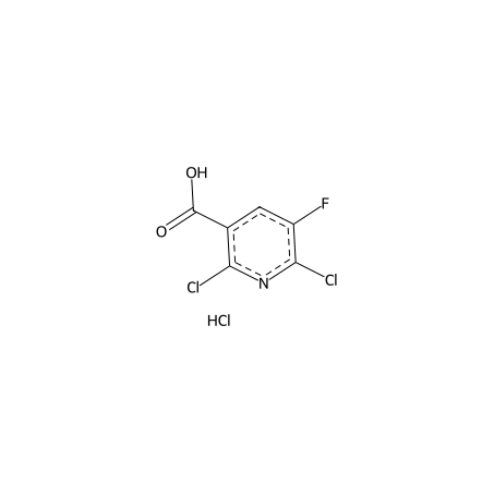 Cl.O=C(O)c1cc(F)c(Cl)nc1Cl